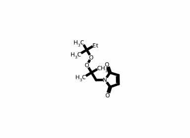 CCC(C)(C)OOC(C)(C)CN1C(=O)C=CC1=O